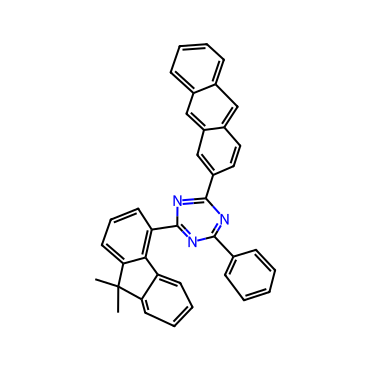 CC1(C)c2ccccc2-c2c(-c3nc(-c4ccccc4)nc(-c4ccc5cc6ccccc6cc5c4)n3)cccc21